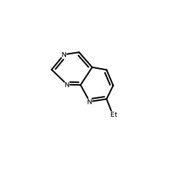 CCc1ccc2cncnc2n1